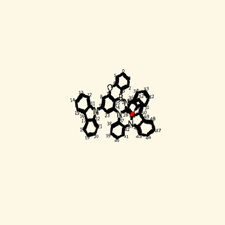 c1ccc2c(c1)Oc1cc(-n3c4ccccc4c4ccccc43)cc3c1B2n1c(nc2ccccc21)N3c1ccccc1-n1c2ccccc2c2ccccc21